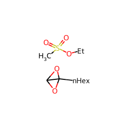 CCCCCCC12OC1O2.CCOS(C)(=O)=O